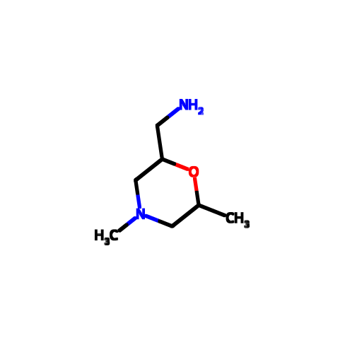 CC1CN(C)CC(CN)O1